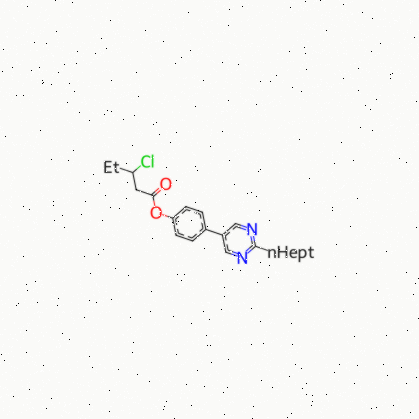 CCCCCCCc1ncc(-c2ccc(OC(=O)CC(Cl)CC)cc2)cn1